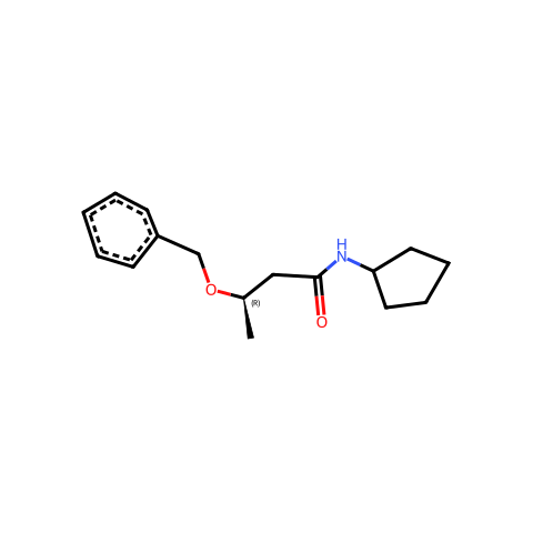 C[C@H](CC(=O)NC1CCCC1)OCc1ccccc1